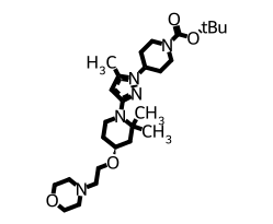 Cc1cc(N2CC[C@@H](OCCN3CCOCC3)CC2(C)C)nn1C1CCN(C(=O)OC(C)(C)C)CC1